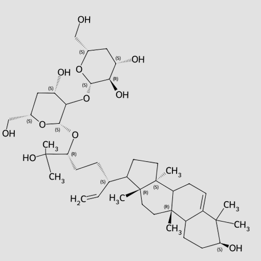 C=C[C@H](CC[C@@H](O[C@@H]1O[C@H](CO)C[C@H](O)C1O[C@@H]1O[C@H](CO)C[C@H](O)[C@H]1O)C(C)(C)O)C1CC[C@@]2(C)C3CC=C4C(CC[C@H](O)C4(C)C)[C@]3(C)CC[C@]12C